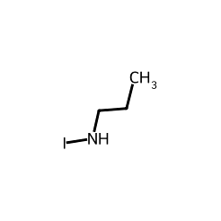 CCCNI